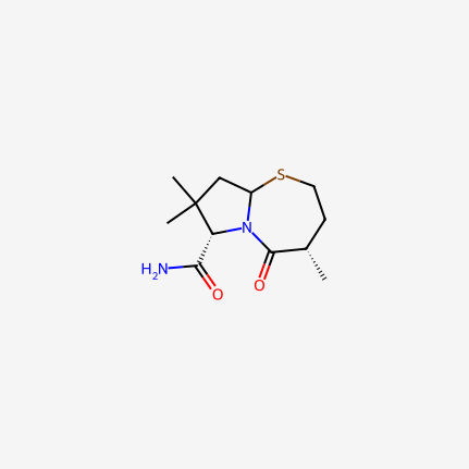 C[C@H]1CCSC2CC(C)(C)[C@@H](C(N)=O)N2C1=O